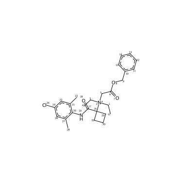 CC[N+](CC)(CC(=O)OCc1ccccc1)C1(C(=O)Nc2c(C)cc(Cl)cc2C)CCC1